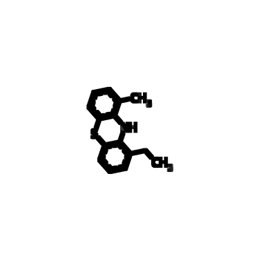 CCc1cccc2c1Nc1c(C)cccc1S2